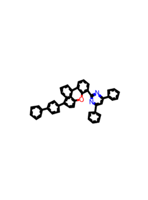 c1ccc(-c2ccc(-c3ccc4c5c(cccc35)-c3cccc(-c5nc(-c6ccccc6)cc(-c6ccccc6)n5)c3O4)cc2)cc1